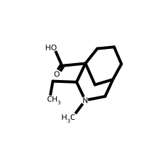 CCC1N(C)CC2CCCC1(C(=O)O)C2